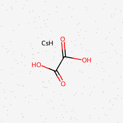 O=C(O)C(=O)O.[CsH]